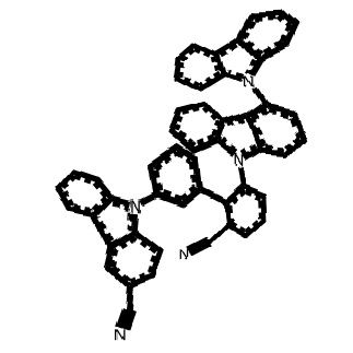 N#Cc1ccc2c(c1)c1ccccc1n2-c1cccc(-c2c(C#N)cccc2-n2c3ccccc3c3c(-n4c5ccccc5c5ccccc54)cccc32)c1